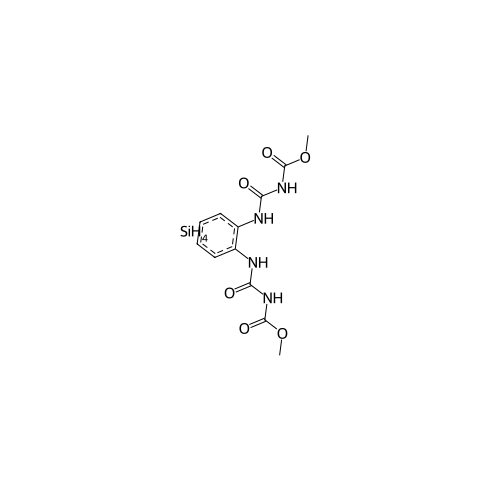 COC(=O)NC(=O)Nc1ccccc1NC(=O)NC(=O)OC.[SiH4]